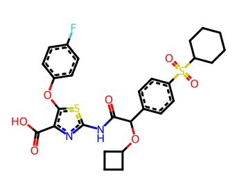 O=C(O)c1nc(NC(=O)C(OC2CCC2)c2ccc(S(=O)(=O)C3CCCCC3)cc2)sc1Oc1ccc(F)cc1